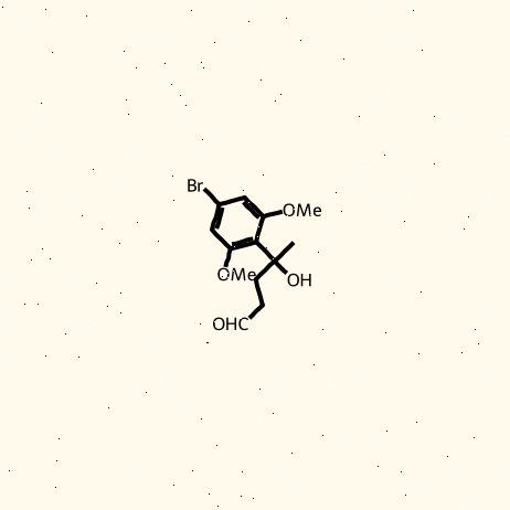 COc1cc(Br)cc(OC)c1C(C)(O)CCC=O